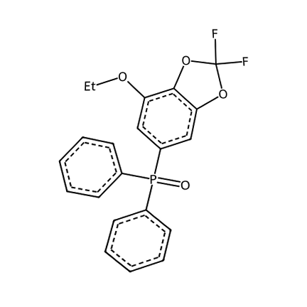 CCOc1cc(P(=O)(c2ccccc2)c2ccccc2)cc2c1OC(F)(F)O2